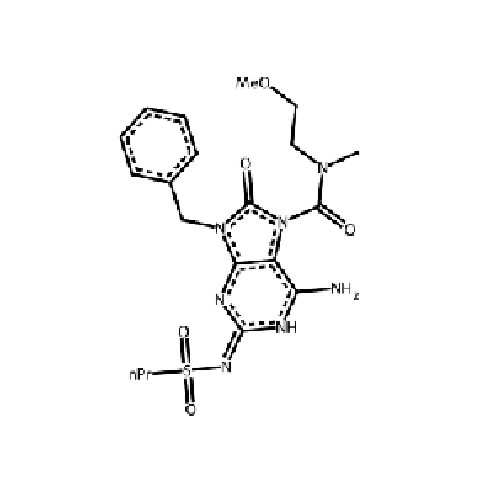 CCCS(=O)(=O)N=c1nc2c(c(N)[nH]1)n(C(=O)N(C)CCOC)c(=O)n2Cc1ccccc1